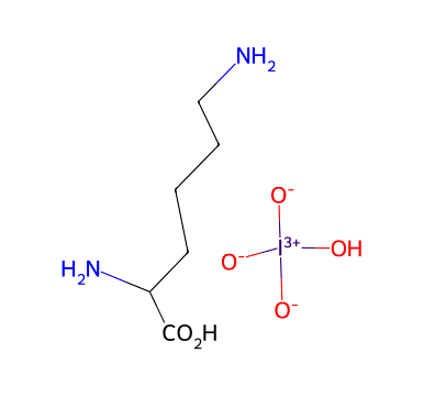 NCCCCC(N)C(=O)O.[O-][I+3]([O-])([O-])O